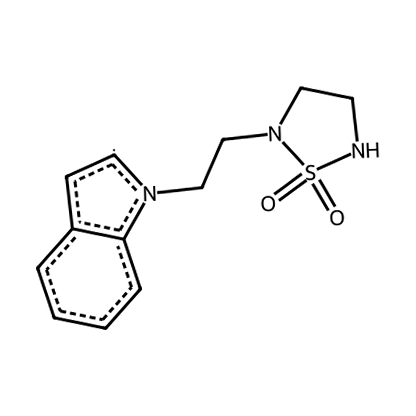 O=S1(=O)NCCN1CCn1[c]cc2ccccc21